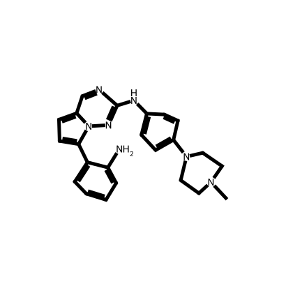 CN1CCN(c2ccc(Nc3ncc4ccc(-c5ccccc5N)n4n3)cc2)CC1